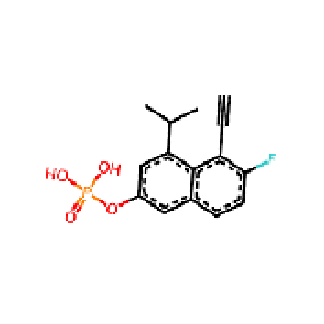 C#Cc1c(F)ccc2cc(OP(=O)(O)O)cc(C(C)C)c12